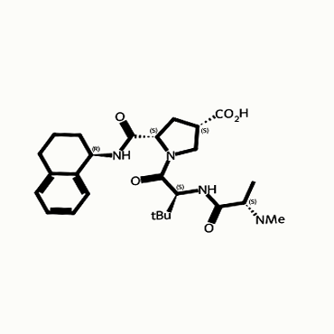 CN[C@@H](C)C(=O)N[C@H](C(=O)N1C[C@@H](C(=O)O)C[C@H]1C(=O)N[C@@H]1CCCc2ccccc21)C(C)(C)C